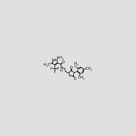 Cc1cc(C)c(C2C(=O)CC(CCNC(=O)c3c(C(F)(F)F)c(C)nn3C)C2=O)c(C)c1